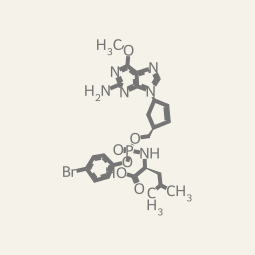 COc1nc(N)nc2c1ncn2[C@H]1C=C[C@@H](COP(=O)(N[C@@H](CC(C)C)C(=O)O)Oc2ccc(Br)cc2)C1